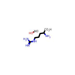 N=C(N)NCCCC(N)C(=O)O.O=NO